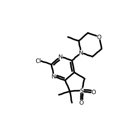 CC1COCCN1c1nc(Cl)nc2c1CS(=O)(=O)C2(C)C